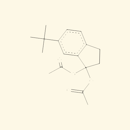 CC(=O)OC1(OC(C)=O)CCc2ccc(C(C)(C)C)cc21